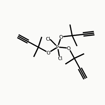 C#CC(C)(C)OP(Cl)(Cl)(OC(C)(C)C#C)OC(C)(C)C#C